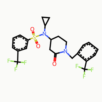 O=C1CC(N(C2CC2)S(=O)(=O)c2cccc(C(F)(F)F)c2)CCN1Cc1ccccc1C(F)(F)F